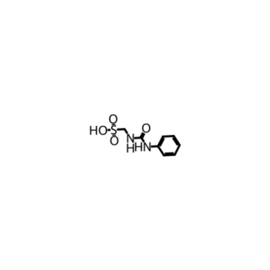 O=C(NCS(=O)(=O)O)Nc1ccccc1